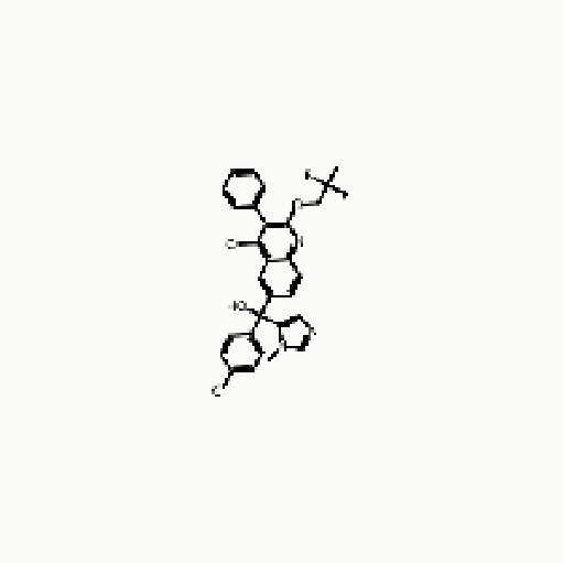 Cn1cncc1C(O)(c1ccc(Cl)cc1)c1ccc2nc(OCC(C)(F)F)c(-c3ccccc3)c(Cl)c2c1